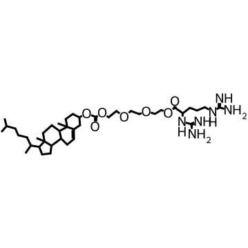 CC(C)CCCC(C)C1CCC2C3CC=C4CC(OC(=O)OCCOCCOCCOC(=O)C(CCCNC(=N)N)NC(=N)N)CCC4(C)C3CCC12C